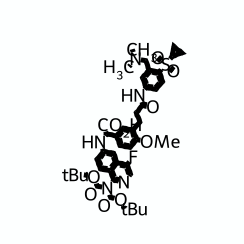 COc1ccc(C(Nc2ccc3c(N(C(=O)OC(C)(C)C)C(=O)OC(C)(C)C)ncc(F)c3c2)C(=O)O)cc1CCC(=O)Nc1ccc(S(=O)(=O)C2CC2)c(CN(C)C)c1